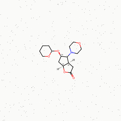 O=C1C[C@@H]2C(N3CCOCC3)[C@H](OC3CCCCO3)C[C@@H]2O1